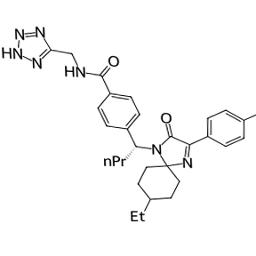 CCC[C@H](c1ccc(C(=O)NCc2nn[nH]n2)cc1)N1C(=O)C(c2ccc(F)cc2)=NC12CCC(CC)CC2